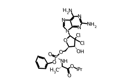 CC(C)OC(=O)[C@H](C)N[P@](=O)(OC[C@H]1O[C@@H](n2cnc3c(N)nc(N)nc32)C(Cl)(Cl)[C@@H]1O)Oc1ccccc1